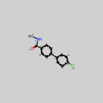 CC(C)NC(=O)c1ccc(-c2ccc(Cl)cc2)cc1